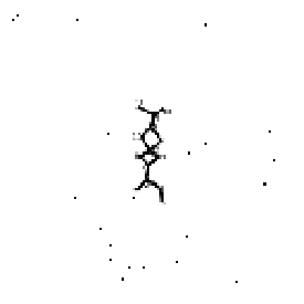 CCC(C)C1CC2(CC(C(C)C)C2)C1